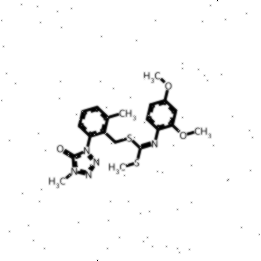 COc1ccc(/N=C(/SC)SCc2c(C)cccc2-n2nnn(C)c2=O)c(OC)c1